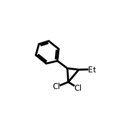 CCC1C(c2ccccc2)C1(Cl)Cl